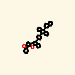 c1ccc2cc(-c3c4ccccc4c(-c4ccc(-c5cc6c7ccc8oc9ccccc9c8c7oc6c6ccccc56)cc4)c4ccccc34)ccc2c1